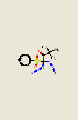 CC(C)(C)C(=O)C(N=[N+]=[N-])(N=[N+]=[N-])S(=O)(=O)c1ccccc1